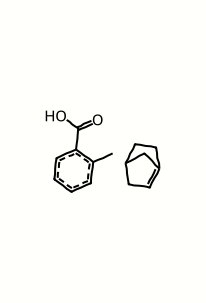 C1=C2CCC(C1)C2.Cc1ccccc1C(=O)O